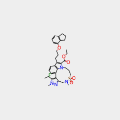 CCOC(=O)c1c(CCCOc2cccc3c2CCC3)c2ccc(F)c3c2n1CCCS(=O)(=O)N(C)Cc1nn(C)c(CC)c1-3